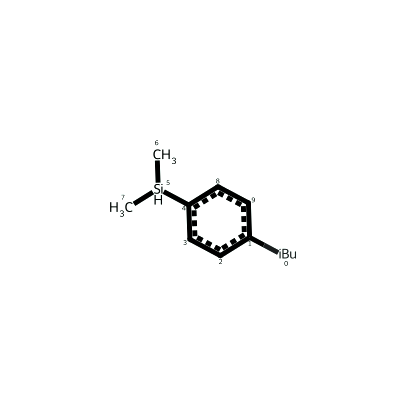 CCC(C)c1ccc([SiH](C)C)cc1